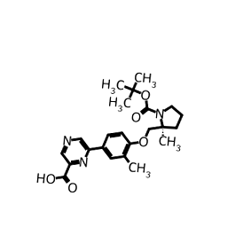 Cc1cc(-c2cncc(C(=O)O)n2)ccc1OC[C@]1(C)CCCN1C(=O)OC(C)(C)C